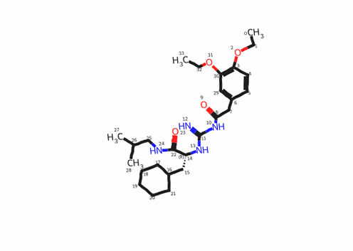 CCOc1ccc(CC(=O)NC(=N)N[C@H](CC2CCCCC2)C(=O)NCC(C)C)cc1OCC